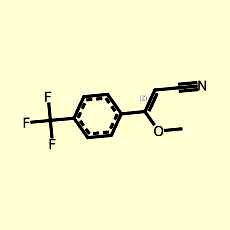 CO/C(=C\C#N)c1ccc(C(F)(F)F)cc1